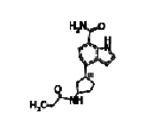 C=CC(=O)NC1CC[C@H](c2ccc(C(N)=O)c3[nH]ccc23)C1